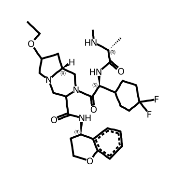 CCOC1C[C@@H]2CN(C(=O)[C@@H](NC(=O)[C@@H](C)NC)C3CCC(F)(F)CC3)C(C(=O)N[C@@H]3CCOc4ccccc43)CN2C1